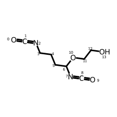 O=C=NCCCC(N=C=O)OCCO